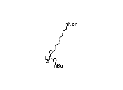 CCCCCCCCCCCCCCCCO[PH](=O)OCCCC